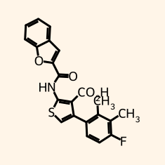 Cc1c(F)ccc(-c2csc(NC(=O)c3cc4ccccc4o3)c2C(=O)O)c1C